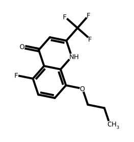 CCCOc1ccc(F)c2c(=O)cc(C(F)(F)F)[nH]c12